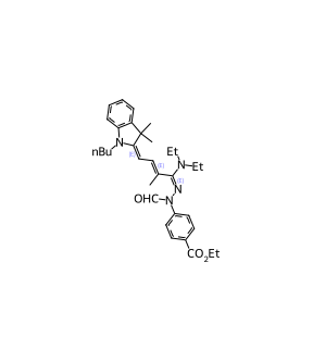 CCCCN1/C(=C/C=C(C)/C(=N\N(C=O)c2ccc(C(=O)OCC)cc2)N(CC)CC)C(C)(C)c2ccccc21